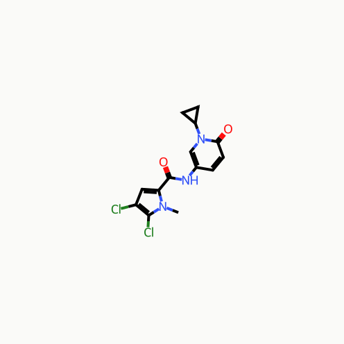 Cn1c(C(=O)Nc2ccc(=O)n(C3CC3)c2)cc(Cl)c1Cl